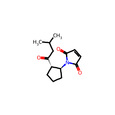 CC(C)CC(=O)[C@H]1CCC[C@@H]1N1C(=O)C=CC1=O